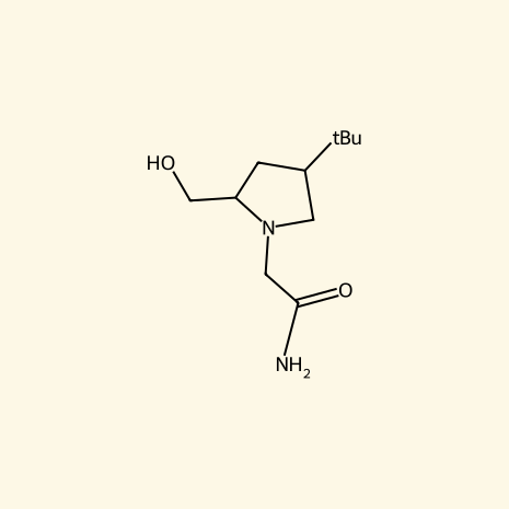 CC(C)(C)C1CC(CO)N(CC(N)=O)C1